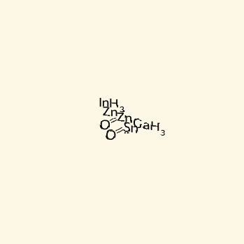 [GaH3].[InH3].[O]=[Sn].[O]=[Zn].[Zn]